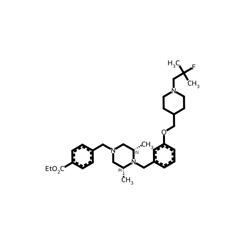 CCOC(=O)c1ccc(CN2C[C@@H](C)N(Cc3cccc(OCC4CCN(CC(C)(C)F)CC4)c3)[C@@H](C)C2)cc1